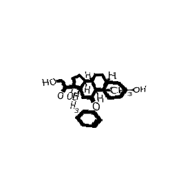 C1=CCCCC1.C[C@]12CC[C@@H](O)C[C@H]1CC[C@@H]1[C@@H]2C(=O)C[C@@]2(C)[C@H]1CC[C@]2(O)C(=O)CO